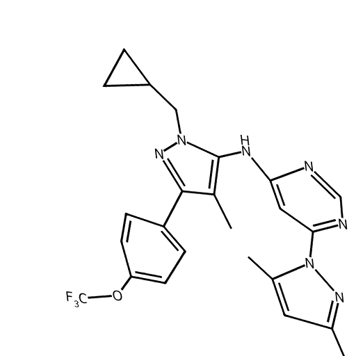 Cc1cc(C)n(-c2cc(Nc3c(C)c(-c4ccc(OC(F)(F)F)cc4)nn3CC3CC3)ncn2)n1